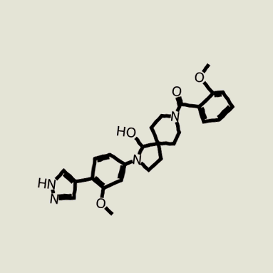 COc1ccccc1C(=O)N1CCC2(CC1)CCN(c1ccc(-c3cn[nH]c3)c(OC)c1)C2O